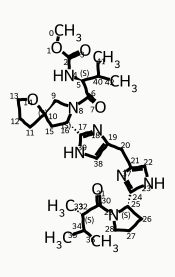 COC(=O)N[C@H](C(=O)N1C[C@]2(CCCO2)C[C@H]1c1nc(Cc2c[nH]c([C@@H]3CCCN3C(=O)[C@@H](C)C(C)C)n2)c[nH]1)C(C)C